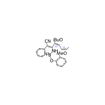 C/C=C\C=C(\OCC(C)C)C1=C(C#N)c2cccc[n+]2B(Oc2ccccc2OC)N1